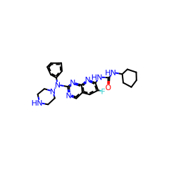 O=C(Nc1nc2nc(N(c3ccccc3)N3CCNCC3)ncc2cc1F)NC1CCCCC1